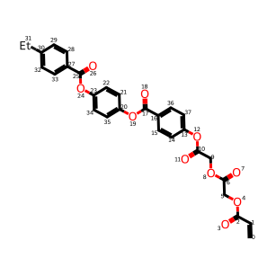 C=CC(=O)OCC(=O)OCC(=O)Oc1ccc(C(=O)Oc2ccc(OC(=O)c3ccc(CC)cc3)cc2)cc1